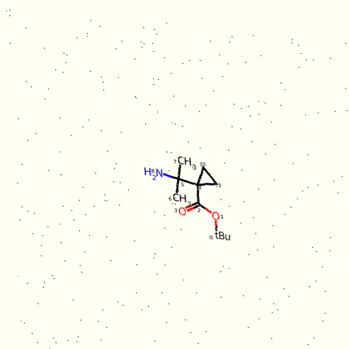 CC(C)(C)OC(=O)C1(C(C)(C)N)CC1